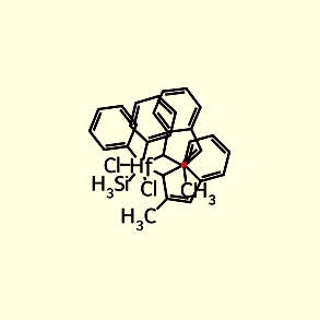 CC1=Cc2ccccc2[CH]1[Hf]([SiH3])([Cl])([Cl])([c]1ccccc1)([c]1ccccc1)[CH]1C(C)=Cc2ccccc21